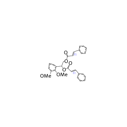 COc1cccc(C(COC(=O)/C=C/c2ccccc2)OC(=O)/C=C/c2ccccc2)c1OC